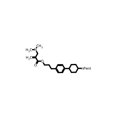 C=C(CN(C)C)C(=O)OCCCc1ccc(C2CCC(CCCCC)CC2)cc1